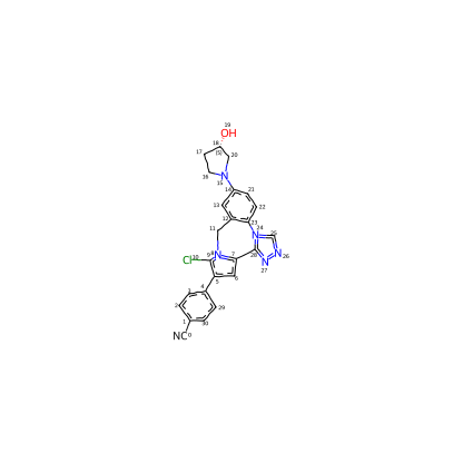 N#Cc1ccc(-c2cc3n(c2Cl)Cc2cc(N4CC[C@H](O)C4)ccc2-n2cnnc2-3)cc1